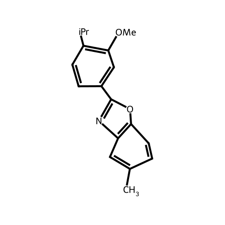 COc1cc(-c2nc3cc(C)ccc3o2)ccc1C(C)C